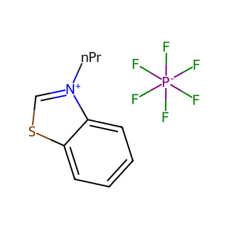 CCC[n+]1csc2ccccc21.F[P-](F)(F)(F)(F)F